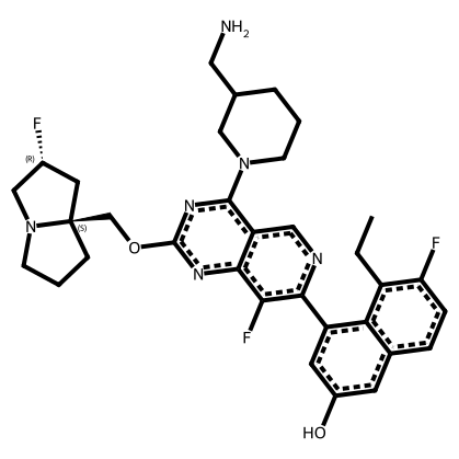 CCc1c(F)ccc2cc(O)cc(-c3ncc4c(N5CCCC(CN)C5)nc(OC[C@@]56CCCN5C[C@H](F)C6)nc4c3F)c12